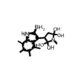 Bc1[nH]c2c(C)c(C)c(C)c(C)c2c1C1CC(O)(O)N(C)C1(O)O